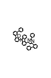 c1ccc(-c2nc(-c3ccccc3-c3ccccc3)cc(-c3cccc4c3c3ccccc3n4-c3cccc4c3oc3c(-c5ccccc5)cccc34)n2)cc1